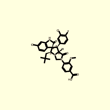 COc1cc(C(=O)O)ccc1N1CN2[C@@H](CC(C)(C)C)[C@@]3(C(=O)Nc4cc(Cl)ccc43)[C@@H](c3ccc(F)c(Cl)c3)[C@@H]2C1=O